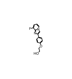 OCCOc1ccc(-c2cn3cccc(F)c3n2)cc1